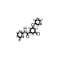 Cc1ccnc(NC(=O)c2cc(Cl)cc(Oc3cncnc3)c2)n1